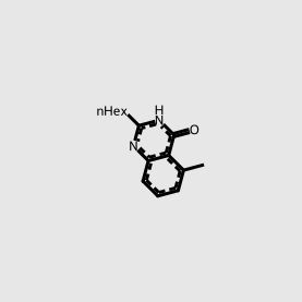 CCCCCCc1nc2cccc(C)c2c(=O)[nH]1